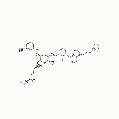 Cc1c(COc2cc(OCc3cccc(C#N)c3)c(CNCCCC(N)=O)cc2Cl)cccc1-c1cccc2c1ccn2CCCN1CCCC1